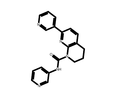 O=C(Nc1cccnc1)N1CCCc2ccc(-c3cccnc3)nc21